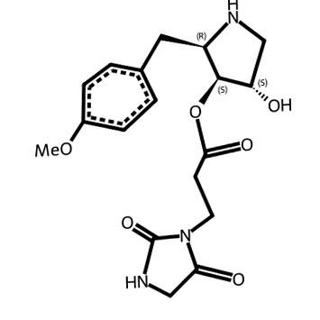 COc1ccc(C[C@H]2NC[C@H](O)[C@H]2OC(=O)CCN2C(=O)CNC2=O)cc1